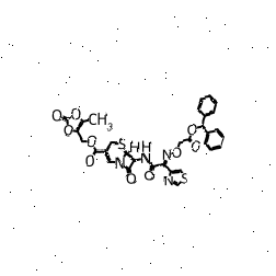 Cc1oc(=O)oc1COC(=O)C1=CN2C(=O)C(NC(=O)C(=NOCC(=O)OC(c3ccccc3)c3ccccc3)c3cscn3)[C@H]2SC1